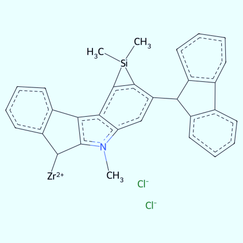 Cn1c2c(c3c4c(c(C5c6ccccc6-c6ccccc65)cc31)[Si]4(C)C)-c1ccccc1[CH]2[Zr+2].[Cl-].[Cl-]